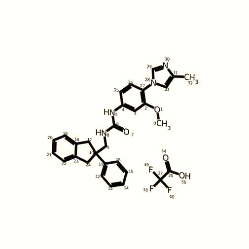 COc1cc(NC(=O)NCC2(c3ccccc3)Cc3ccccc3C2)ccc1-n1cnc(C)c1.O=C(O)C(F)(F)F